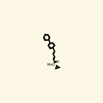 C1CC1.COC(=O)C=CC=Cc1ccc(-c2ccccc2)cc1